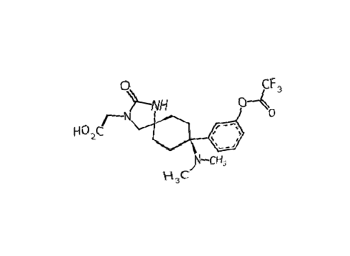 CN(C)[C@]1(c2cccc(OC(=O)C(F)(F)F)c2)CC[C@@]2(CC1)CN(CC(=O)O)C(=O)N2